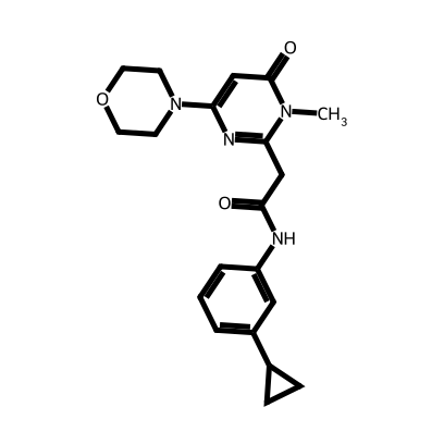 Cn1c(CC(=O)Nc2cccc(C3CC3)c2)nc(N2CCOCC2)cc1=O